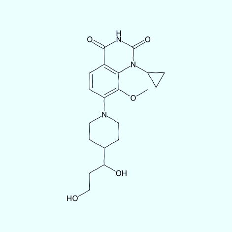 COc1c(N2CCC(C(O)CCO)CC2)ccc2c(=O)[nH]c(=O)n(C3CC3)c12